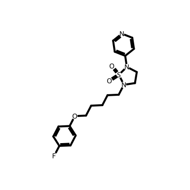 O=S1(=O)N(CCCCCOc2ccc(F)cc2)CCN1c1ccncc1